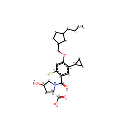 CCCC1CCC(COc2cc(F)c(C(=O)N3CC(O)C[C@H]3C(=O)O)cc2C2CC2)C1